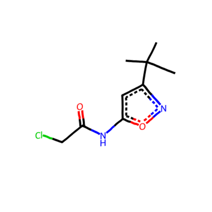 CC(C)(C)c1cc(NC(=O)CCl)on1